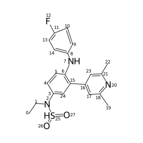 CCN(c1ccc(Nc2ccc(F)cc2)c(-c2cc(C)nc(C)c2)c1)[SH](=O)=O